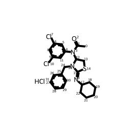 CC(=O)N(c1cc(Cl)cc(Cl)c1)C1CSC(=NC2CCCCC2)N1Cc1ccccc1.Cl